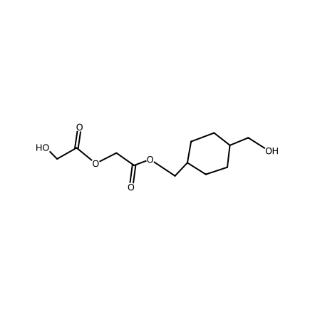 O=C(CO)OCC(=O)OCC1CCC(CO)CC1